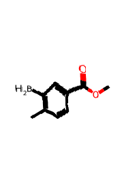 Bc1cc(C(=O)OC)ccc1C